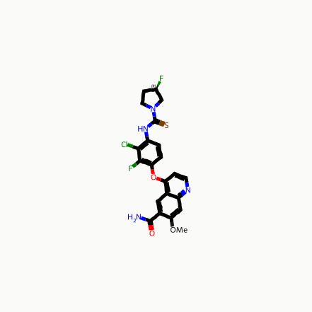 COc1cc2nccc(Oc3ccc(NC(=S)N4CC[C@@H](F)C4)c(Cl)c3F)c2cc1C(N)=O